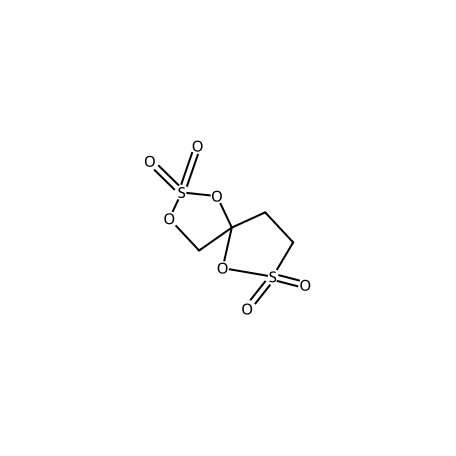 O=S1(=O)CCC2(COS(=O)(=O)O2)O1